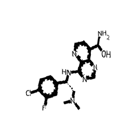 CN(C)C[C@@H](Nc1ncnc2c(C(N)O)ccnc12)c1ccc(Cl)c(F)c1